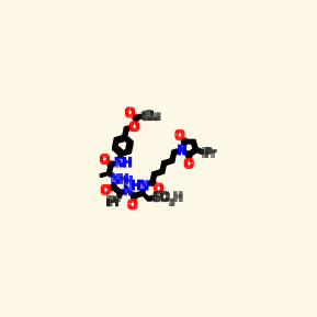 CC(C)C1CC(=O)N(CCCCCC(=O)N[C@@H](CS(=O)(=O)O)C(=O)NC(C(=O)N[C@@H](C)C(=O)Nc2ccc(COC(=O)C(C)(C)C)cc2)C(C)C)C1=O